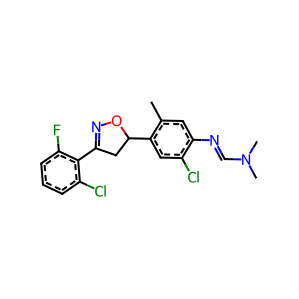 Cc1cc(N=CN(C)C)c(Cl)cc1C1CC(c2c(F)cccc2Cl)=NO1